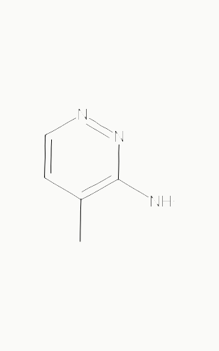 Cc1ccnnc1[NH]